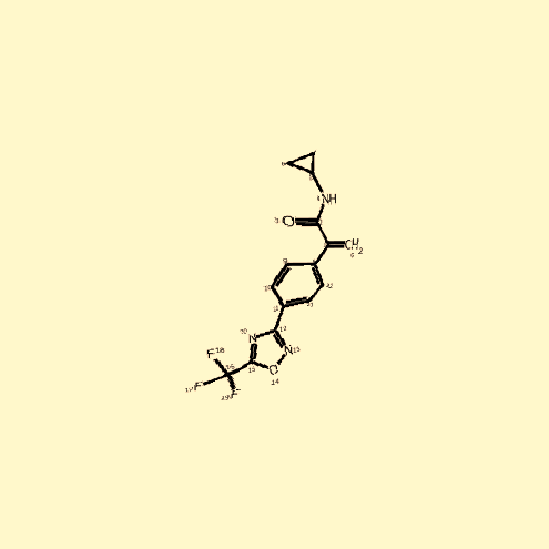 C=C(C(=O)NC1CC1)c1ccc(-c2noc(C(F)(F)F)n2)cc1